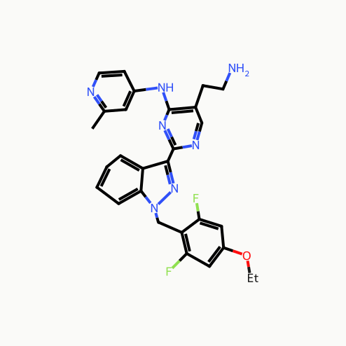 CCOc1cc(F)c(Cn2nc(-c3ncc(CCN)c(Nc4ccnc(C)c4)n3)c3ccccc32)c(F)c1